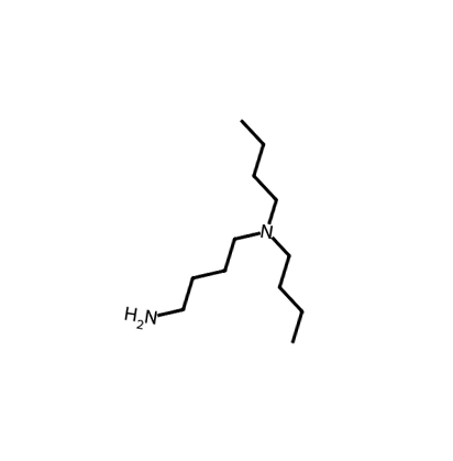 CCCCN(CCCC)CCCCN